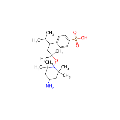 CC(C)C(CC(C)(C)ON1C(C)(C)CC(N)CC1(C)C)c1ccc(S(=O)(=O)O)cc1